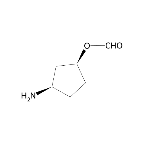 N[C@@H]1CC[C@H](OC=O)C1